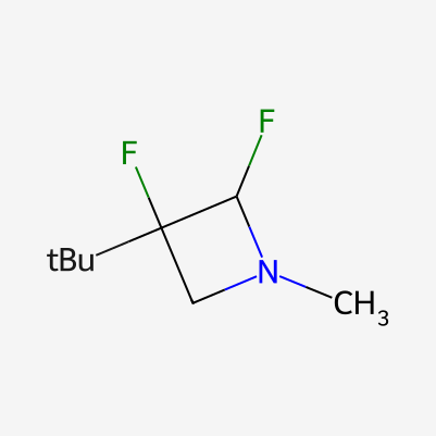 CN1CC(F)(C(C)(C)C)C1F